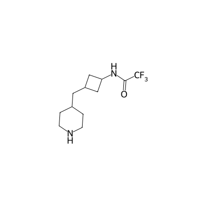 O=C(NC1CC(CC2CCNCC2)C1)C(F)(F)F